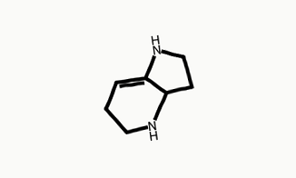 C1=C2NCCC2NCC1